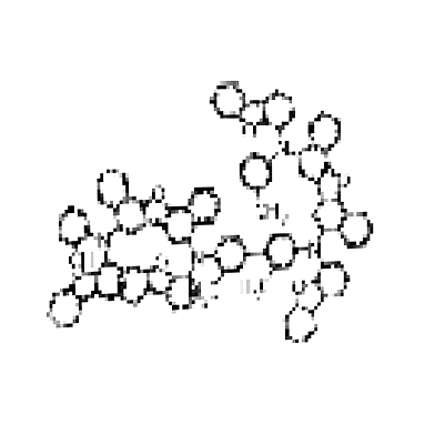 Cc1cccc(N(c2cc3c4cc(N(c5ccc(-c6ccc(N(c7cc8c9cc(N(c%10ccccc%10C)c%10cccc%11c%10oc%10ccccc%10%11)c%10ccccc%10c9oc8c8ccccc78)c7cccc8c7oc7ccccc78)c(C)c6)c(C)c5)c5cccc6c5OC5C=CC=CC65)c5ccccc5c4oc3c3ccccc23)c2cccc3c2oc2ccccc23)c1